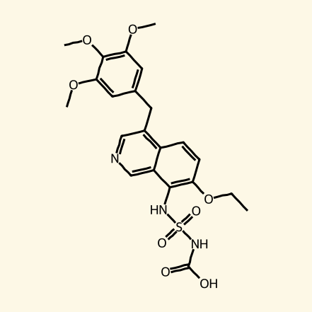 CCOc1ccc2c(Cc3cc(OC)c(OC)c(OC)c3)cncc2c1NS(=O)(=O)NC(=O)O